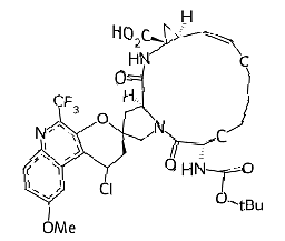 COc1ccc2nc(C(F)(F)F)c3c(c2c1)C(Cl)C[C@]1(C[C@H]2C(=O)N[C@]4(C(=O)O)C[C@H]4/C=C\CCCCC[C@H](NC(=O)OC(C)(C)C)C(=O)N2C1)O3